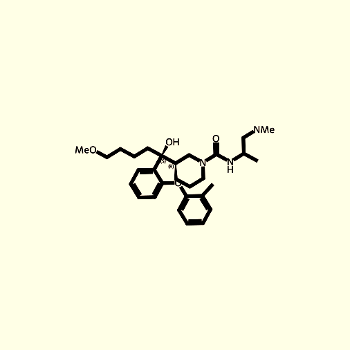 CNCC(C)NC(=O)N1CCC[C@@H]([C@@](O)(CCCCOC)c2ccccc2Oc2ccccc2C)C1